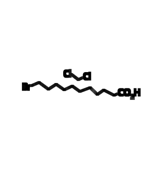 ClCCl.O=C(O)CCCCCCCCCCBr